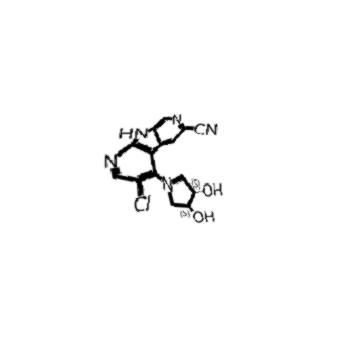 N#Cc1cc2c(cn1)[nH]c1ncc(Cl)c(N3C[C@H](O)[C@@H](O)C3)c12